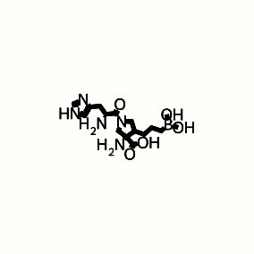 N[C@@H](Cc1c[nH]cn1)C(=O)N1CC(CCCB(O)O)C(N)(C(=O)O)C1